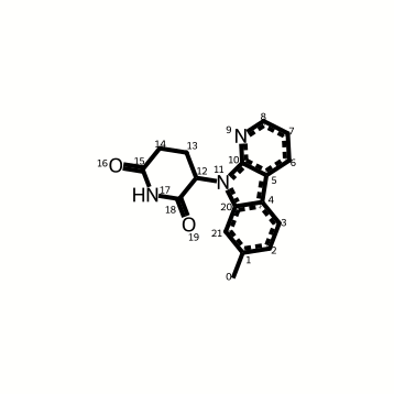 Cc1ccc2c3cccnc3n(C3CCC(=O)NC3=O)c2c1